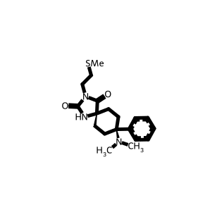 CSCCN1C(=O)N[C@]2(CC[C@](c3ccccc3)(N(C)C)CC2)C1=O